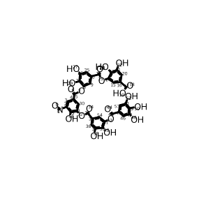 O=Nc1cc(C(=O)Oc2cc(C(=O)Oc3cc(C(=O)O)cc(O)c3O)cc(O)c2O)cc(OC(=O)c2cc(O)c(O)c(OC(=O)c3cc(O)c(O)c(O)c3)c2)c1O